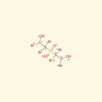 O=P(O)(C(Br)(Br)C(O)Br)C(Br)(Br)C(O)Br